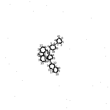 c1ccc(-c2ccc(N(c3ccc(-c4ccc5ccccc5c4)cc3)c3cccc4sc5cccnc5c34)cc2)cc1